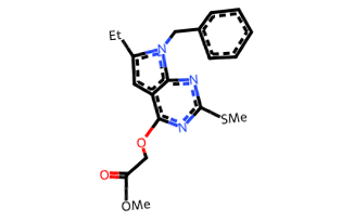 CCc1cc2c(OCC(=O)OC)nc(SC)nc2n1Cc1ccccc1